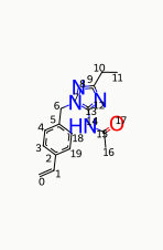 C=Cc1ccc(Cn2nc(CC)nc2NC(C)=O)cc1